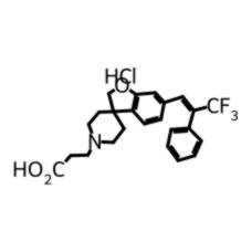 Cl.O=C(O)CCN1CCC2(CC1)COc1cc(C=C(c3ccccc3)C(F)(F)F)ccc12